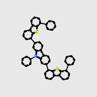 c1ccc(-c2cccc3c2sc2c(-c4ccc5c6ccc(-c7cccc8c7sc7c(-c9ccccc9)cccc78)cc6n(-c6ccccc6)c5c4)cccc23)cc1